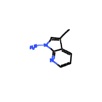 Cc1cn(N)c2ncccc12